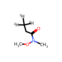 [2H]C([2H])([2H])CC(=O)N(C)OC